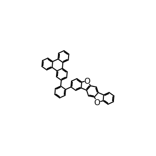 c1ccc(-c2ccc3c4ccccc4c4ccccc4c3c2)c(-c2ccc3oc4cc5c(cc4c3c2)oc2ccccc25)c1